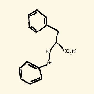 O=C(O)[C@H](Cc1ccccc1)NNc1ccccc1